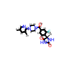 Cc1cnc(N2CCN(C(=O)c3ccc([C@]4(C)NC(=O)NC4=O)c(F)c3)CC2)c(C)c1